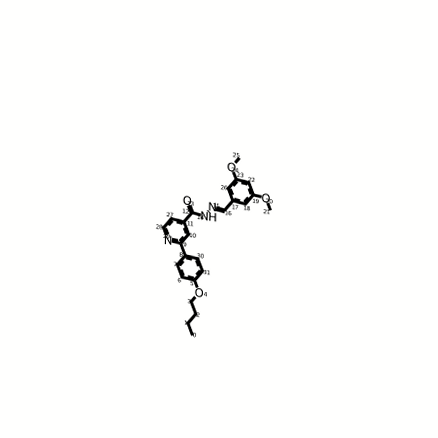 CCCCOc1ccc(-c2cc(C(=O)NN=Cc3cc(OC)cc(OC)c3)ccn2)cc1